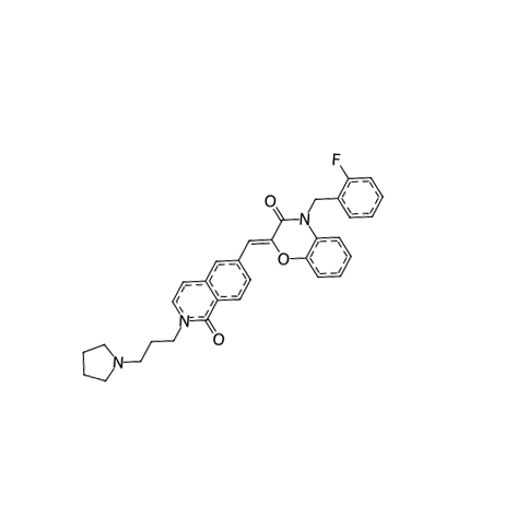 O=C1/C(=C/c2ccc3c(=O)n(CCCN4CCCC4)ccc3c2)Oc2ccccc2N1Cc1ccccc1F